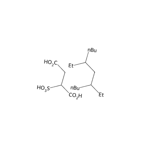 C[CH]CCC(CC)CC(CC)CCCC.O=C(O)CC(C(=O)O)S(=O)(=O)O